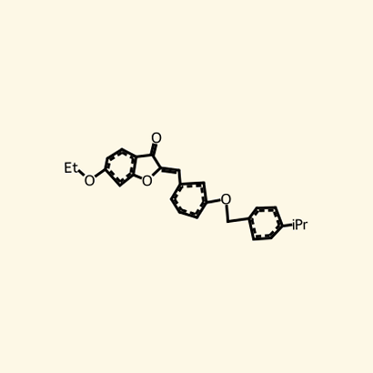 CCOc1ccc2c(c1)OC(=Cc1cccc(OCc3ccc(C(C)C)cc3)c1)C2=O